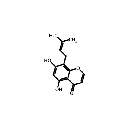 CC(C)=CCc1c(O)cc(O)c2c(=O)ccoc12